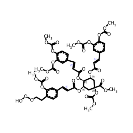 COC(=O)Oc1cc(/C=C/C(=O)O[C@@H]2C[C@@](OC(=O)OC)(C(=O)OC)C[C@@H](OC(=O)/C=C/c3ccc(OC(=O)OC)c(OC(=O)OC)c3)[C@@H]2OC(=O)/C=C/c2ccc(OC(=O)OC)c(OC(=O)OC)c2)ccc1CCOOO